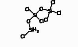 Cl[SiH2]O[Si](Cl)(Cl)O[Si](Cl)(Cl)Cl